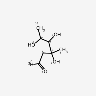 [2H]C(=O)CC(C)(O)C(O)C(C)O